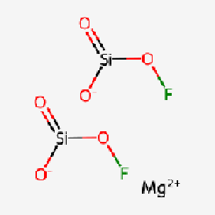 O=[Si]([O-])OF.O=[Si]([O-])OF.[Mg+2]